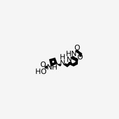 O=C(O)N[C@@H]1CC[C@H]1CNCc1ccc2c(n1)NC(=O)CO2